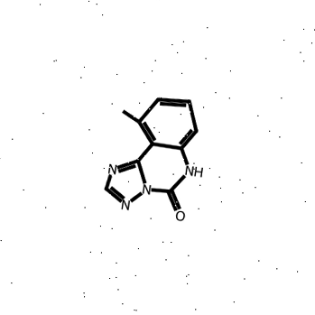 Cc1cccc2[nH]c(=O)n3ncnc3c12